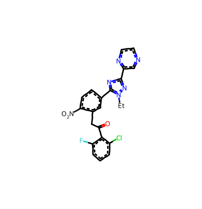 CCn1nc(-c2cnccn2)nc1-c1ccc([N+](=O)[O-])c(CC(=O)c2c(F)cccc2Cl)c1